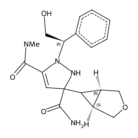 CNC(=O)C1=CC(C(N)=O)(C2[C@H]3COC[C@@H]23)NN1[C@@H](CO)c1ccccc1